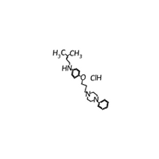 CC(C)=CCNc1ccc(OCCCN2CCN(c3ccccc3)CC2)cc1.Cl